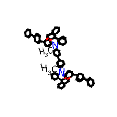 Cc1cc(-c2ccc(N(c3ccc(-c4ccc(-c5ccccc5)cc4)cc3)c3ccccc3-c3cccc4ccccc34)c(C)c2)ccc1N(c1ccc(-c2ccc(-c3ccccc3)cc2)cc1)c1ccccc1-c1cccc2ccccc12